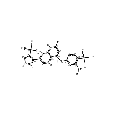 COc1nc(Nc2cc(C)nc3nc(-c4nscc4C(F)(F)F)cnc23)ccc1C(F)(F)F